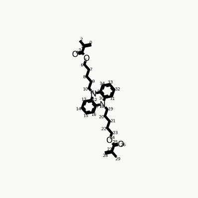 C=C(C)C(=O)OCCCCCN1c2ccccc2N(CCCCCOC(=O)C(=C)C)c2ccccc21